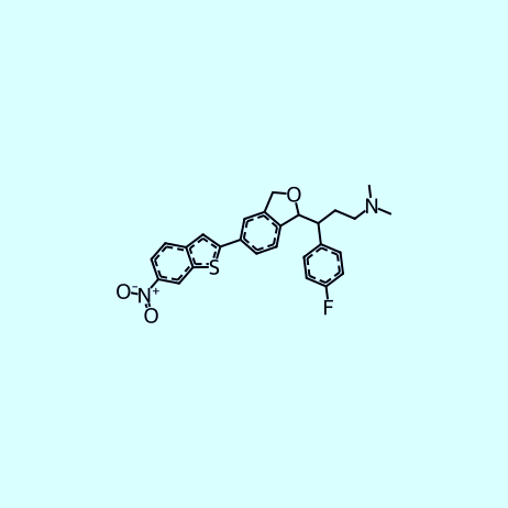 CN(C)CCC(c1ccc(F)cc1)C1OCc2cc(-c3cc4ccc([N+](=O)[O-])cc4s3)ccc21